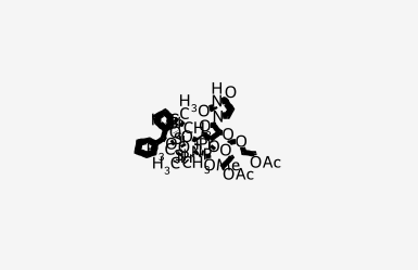 COP(OC1C(OC(OCCOC(C)=O)OCCOC(C)=O)[C@H](n2ccc(=O)[nH]c2=O)O[C@@H]1CO[Si](OC(c1ccccc1)c1ccccc1)(O[Si](C)(C)C)O[Si](C)(C)C)N(C(C)C)C(C)C